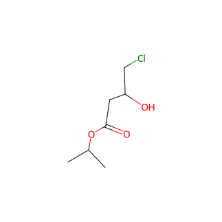 CC(C)OC(=O)CC(O)CCl